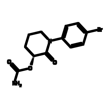 NC(=O)O[C@@H]1CCCN(c2ccc(Br)cc2)C1=O